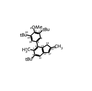 COc1c(C(C)(C)C)cc(-c2c(C)c(C(C)(C)C)cc3c2CC(C)=C3)cc1C(C)(C)C